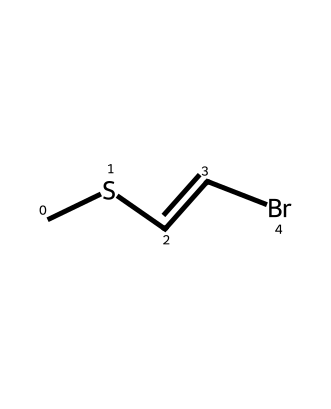 CSC=CBr